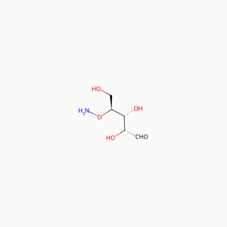 NO[C@@H](CO)[C@H](O)[C@@H](O)C=O